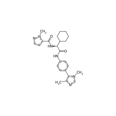 Cc1ncn(C)c1-c1ccc(NC(=O)[C@@H](NC(=O)c2ccnn2C)C2CCCCC2)cc1